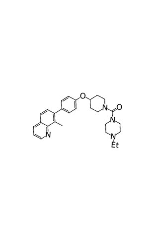 CCN1CCN(C(=O)N2CCC(Oc3ccc(-c4ccc5cccnc5c4C)cc3)CC2)CC1